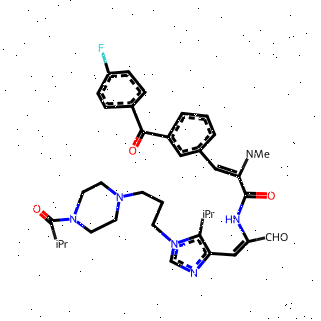 CN/C(=C\c1cccc(C(=O)c2ccc(F)cc2)c1)C(=O)N/C(C=O)=C\c1ncn(CCCN2CCN(C(=O)C(C)C)CC2)c1C(C)C